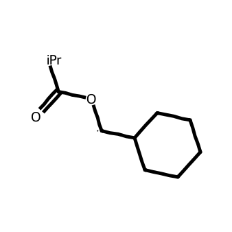 CC(C)C(=O)O[CH]C1CCCCC1